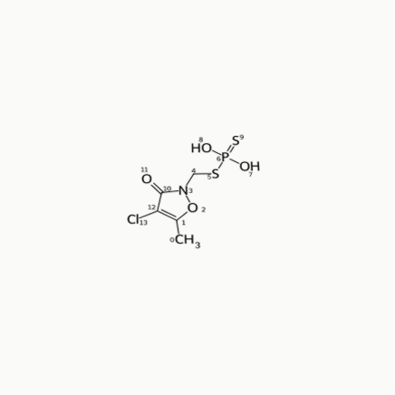 Cc1on(CSP(O)(O)=S)c(=O)c1Cl